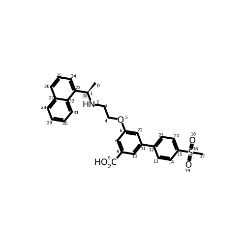 C[C@@H](NCCOc1cc(C(=O)O)cc(-c2ccc(S(C)(=O)=O)cc2)c1)c1cccc2ccccc12